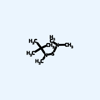 CN(C)SN(C)C(C)(C)C